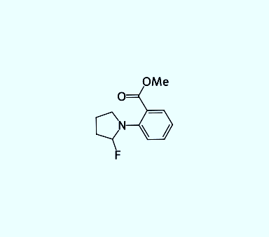 COC(=O)c1ccccc1N1CCCC1F